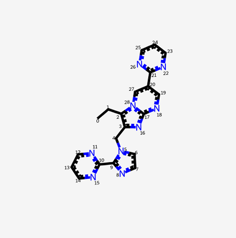 CCc1c(Cn2ccnc2-c2ncccn2)nc2ncc(-c3ncccn3)cn12